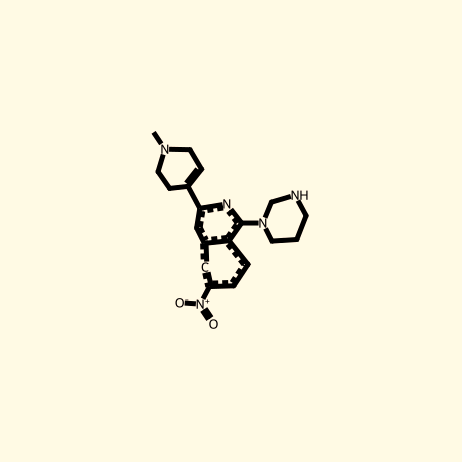 CN1CC=C(c2cc3cc([N+](=O)[O-])ccc3c(N3CCCNC3)n2)CC1